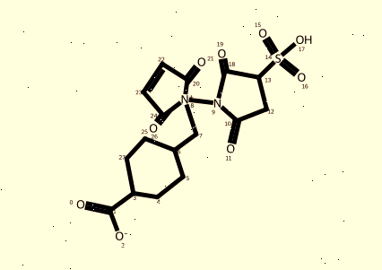 O=C([O-])C1CCC(C[N+]2(N3C(=O)CC(S(=O)(=O)O)C3=O)C(=O)C=CC2=O)CC1